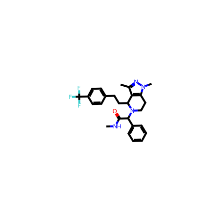 CNC(=O)C(c1ccccc1)N1CCc2c(c(C)nn2C)C1CCc1ccc(C(F)(F)F)cc1